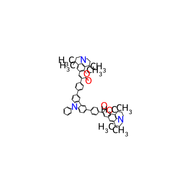 CC1(C)CCN2CCC(C)(C)c3c2c1cc1cc(-c2ccc(-c4ccc5c(c4)c4cc(-c6ccc(-c7cc8cc9c%10c(c8oc7=O)C(C)(C)CCN%10CCC9(C)C)cc6)ccc4n5-c4ccccc4)cc2)c(=O)oc31